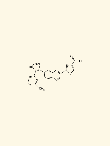 Cc1cccc(-c2[nH]cnc2-c2ccc3ncc(-c4nc(C(=O)O)cs4)cc3c2)n1